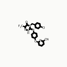 N#Cc1cccc(Oc2ccc(/N=c3\[nH]nc(C(F)(F)F)c(=O)n3Cc3ccc(Cl)cc3)cc2)n1